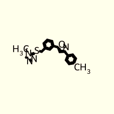 Cc1ccc(-c2cc(-c3cccc(CSc4nncn4C)c3)on2)cc1